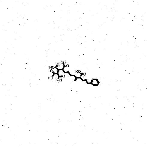 C=C(CCCCC(C(=O)O)C(C(=O)O)C(C(=O)O)C(=O)O)C(CCCc1ccccc1)C(=O)O